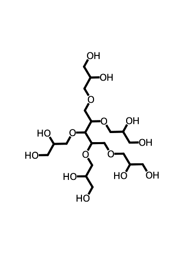 OCC(O)COCC(OCC(O)CO)C(OCC(O)CO)C(COCC(O)CO)OCC(O)CO